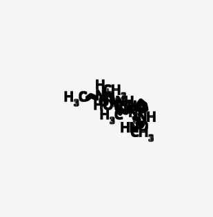 CCCCNC(=O)[C@H](C)C[C@H](O)[C@@H](N)CC(C)(C)CC(=O)N1C[C@H](C(=O)NC)Nc2ccccc21